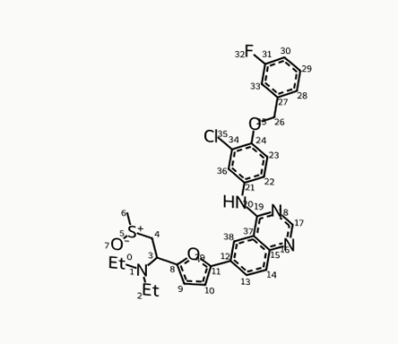 CCN(CC)C(C[S+](C)[O-])c1ccc(-c2ccc3ncnc(Nc4ccc(OCc5cccc(F)c5)c(Cl)c4)c3c2)o1